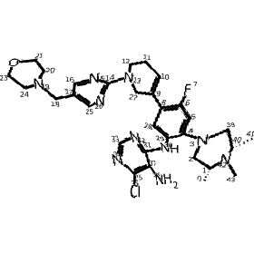 C[C@@H]1CN(c2cc(F)c(C3=CCCN(c4ncc(CN5CCOCC5)cn4)C3)cc2Nc2ncnc(Cl)c2N)C[C@H](C)N1C